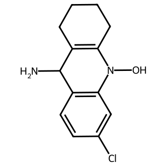 NC1C2=C(CCCC2)N(O)c2cc(Cl)ccc21